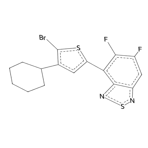 Fc1cc2nsnc2c(-c2cc(C3CCCCC3)c(Br)s2)c1F